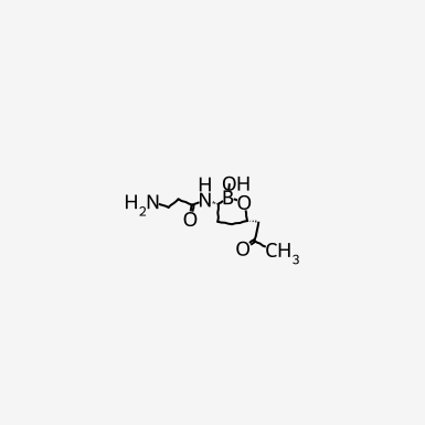 CC(=O)C[C@@H]1CC[C@H](NC(=O)CCN)B(O)O1